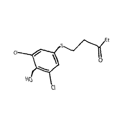 CCC(=O)CCSc1cc(Cl)c(O)c(Cl)c1